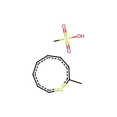 CS(=O)(=O)O.Cc1cccccccs1